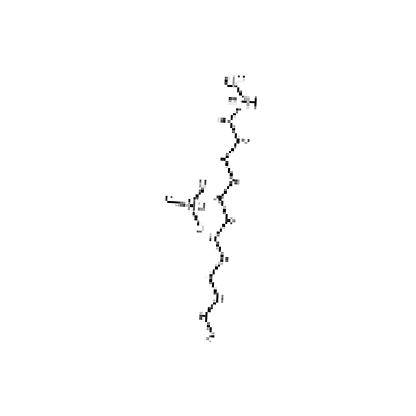 CCCCCCCCCCCCPCl.CN(C)C